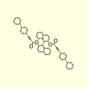 O=C(C#Cc1ccc(-c2ccccc2)cc1)Oc1ccc2ccccc2c1-c1c(OC(=O)C#Cc2ccc(-c3ccccc3)cc2)ccc2ccccc12